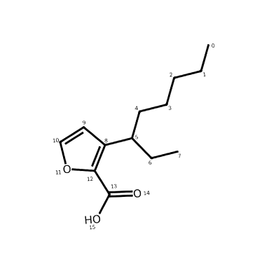 CCCCCC(CC)c1ccoc1C(=O)O